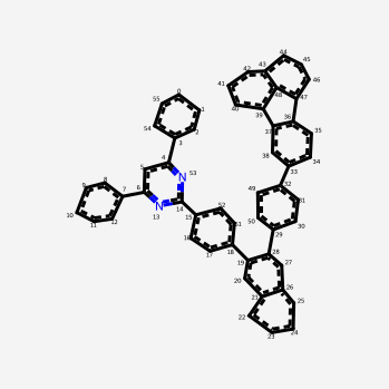 c1ccc(-c2cc(-c3ccccc3)nc(-c3ccc(-c4cc5ccccc5cc4-c4ccc(-c5ccc6c(c5)-c5cccc7cccc-6c57)cc4)cc3)n2)cc1